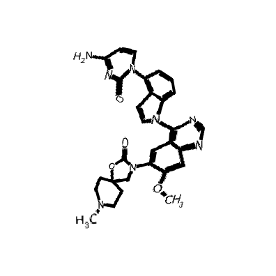 COc1cc2ncnc(-n3ccc4c(-n5ccc(N)nc5=O)cccc43)c2cc1N1CC2(CCN(C)CC2)OC1=O